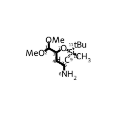 COC(OC)C(CCN)O[Si](C)(C)C(C)(C)C